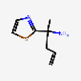 C=CCC(C)(N)c1nccs1